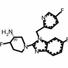 N[C@@H]1CN(c2nc3ccc(F)cc3n2Cc2ccc(F)cn2)CCC1F